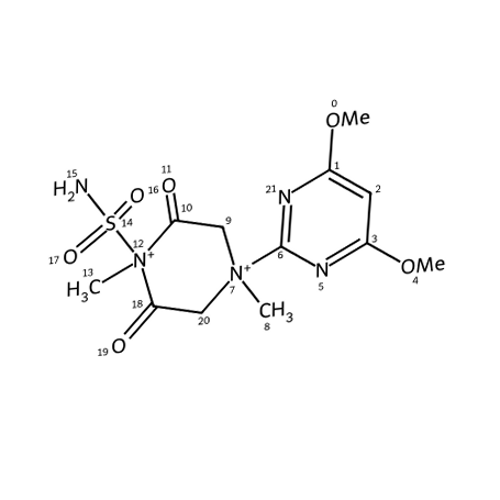 COc1cc(OC)nc([N+]2(C)CC(=O)[N+](C)(S(N)(=O)=O)C(=O)C2)n1